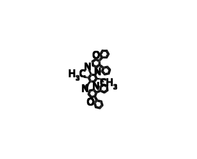 CCc1c(C#N)c(-n2c3ccccc3c3c4c(ccc32)oc2ccccc24)c(CC)c(-n2c3ccccc3c3c4c(ccc32)oc2ccccc24)c1C#N